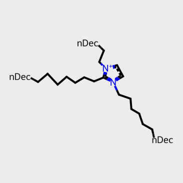 CCCCCCCCCCCCCCCCCc1n(CCCCCCCCCCCCCCCC)cc[n+]1CCCCCCCCCCCC